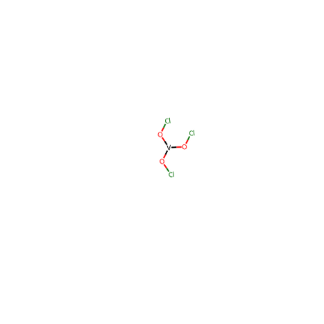 Cl[O][V]([O]Cl)[O]Cl